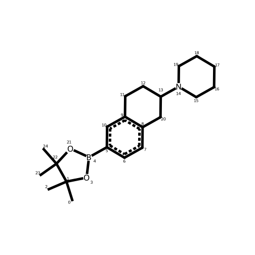 CC1(C)OB(c2ccc3c(c2)CCC(N2CCCCC2)C3)OC1(C)C